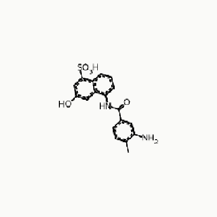 Cc1ccc(C(=O)Nc2cccc3c(S(=O)(=O)O)cc(O)cc23)cc1N